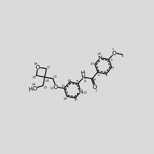 COc1ccc(C(=O)Nc2cc(OCC3(CO)COC3)ccn2)cn1